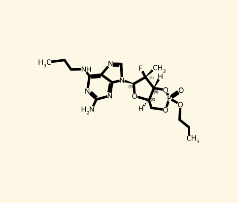 CCCNc1nc(N)nc2c1ncn2[C@@H]1O[C@@H]2COP(=O)(OCCC)O[C@H]2[C@@]1(C)F